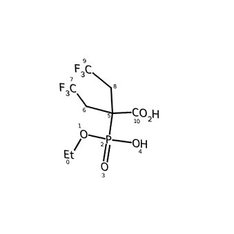 CCOP(=O)(O)C(CC(F)(F)F)(CC(F)(F)F)C(=O)O